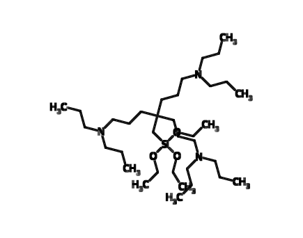 CCCN(CCC)CCCC(CCCN(CCC)CCC)(CCCN(CCC)CCC)C[Si](OCC)(OCC)OCC